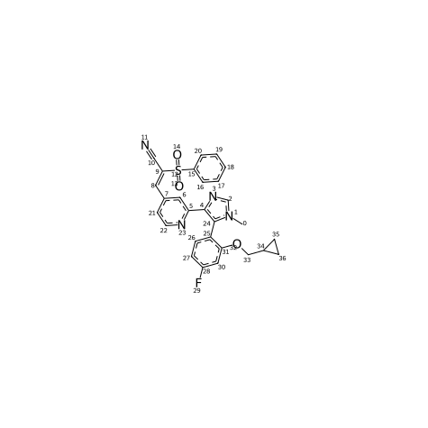 Cn1cnc(-c2cc(C=C(C#N)S(=O)(=O)c3ccccc3)ccn2)c1-c1ccc(F)cc1OCC1CC1